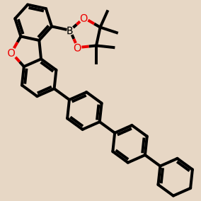 CC1(C)OB(c2cccc3oc4ccc(-c5ccc(-c6ccc(C7=CCCC=C7)cc6)cc5)cc4c23)OC1(C)C